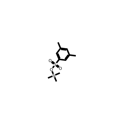 Cc1cc(C)cc(S(=O)(=O)O[Si](C)(C)C)c1